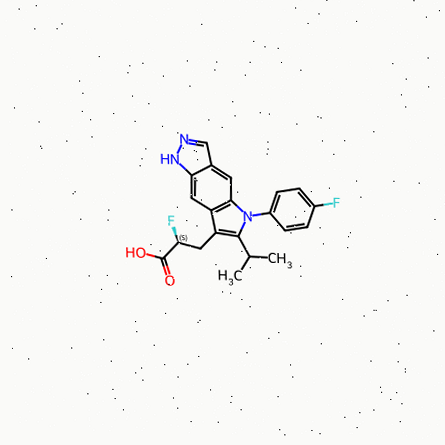 CC(C)c1c(C[C@H](F)C(=O)O)c2cc3[nH]ncc3cc2n1-c1ccc(F)cc1